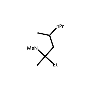 CCCC(C)CC(C)(CC)NC